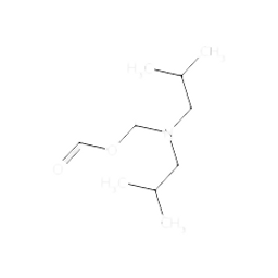 CC(C)CN([CH]OC=O)CC(C)C